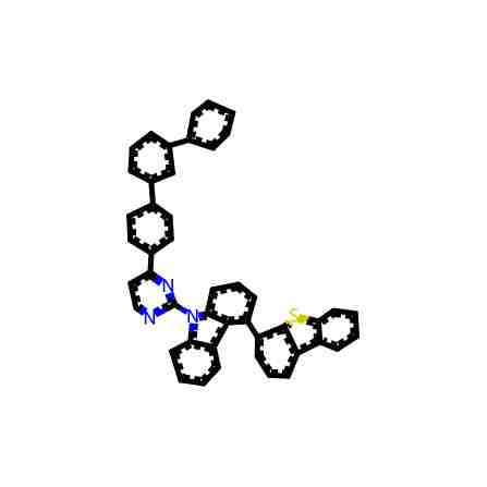 c1ccc(-c2cccc(-c3ccc(-c4ccnc(-n5c6ccccc6c6c(-c7cccc8c7sc7ccccc78)cccc65)n4)cc3)c2)cc1